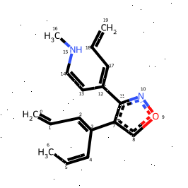 C=C/C=C(\C=C/C)c1conc1C(/C=C\NC)=C/C=C